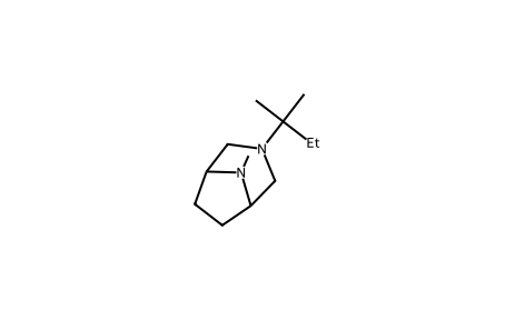 CCC(C)(C)N1CC2CCC(C1)N2C